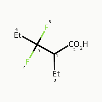 CCC(C(=O)O)C(F)(F)CC